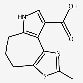 Cc1nc2c(s1)CCCc1[nH]cc(C(=O)O)c1-2